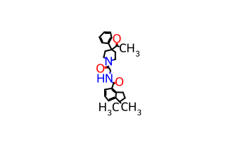 CC(=O)C1(c2ccccc2)CCN(C(=O)CNC(=O)c2cccc3c2CCC3(C)C)CC1